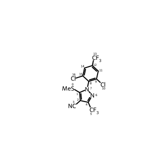 CSc1c(C#N)c(C(F)(F)F)nn1-c1c(Cl)cc(C(F)(F)F)cc1Cl